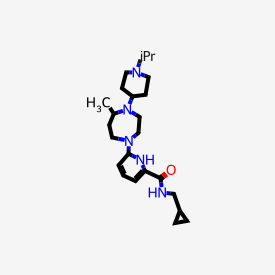 CC(C)N1CCC(N2CCN(C3C=CC=C(C(=O)NCC4CC4)N3)CCC2C)CC1